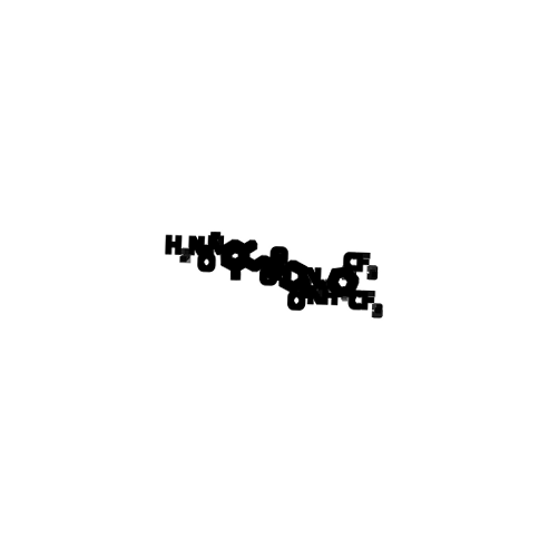 Cc1cc(N(C)C(N)=O)cc(C)c1CCS(=O)(=O)N1CCC2(CC1)N=C([C@H]1C[C@@H](C(F)(F)F)C[C@@H](C(F)(F)F)C1)NC2=O